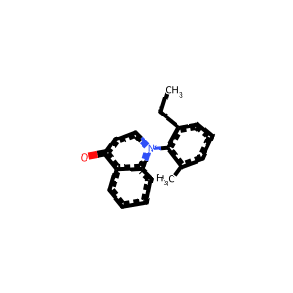 CCc1cccc(C)c1-n1ccc(=O)c2ccccc21